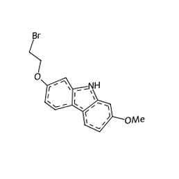 COc1ccc2c(c1)[nH]c1cc(OCCBr)ccc12